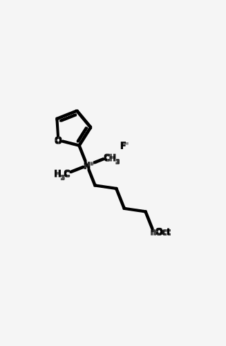 CCCCCCCCCCCC[N+](C)(C)c1ccco1.[F-]